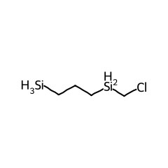 [SiH3]CCC[SiH2]CCl